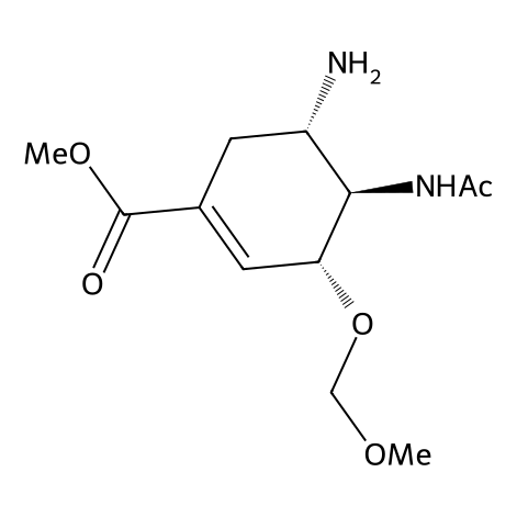 COCO[C@@H]1C=C(C(=O)OC)C[C@H](N)[C@H]1NC(C)=O